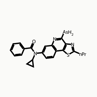 CCCc1nc2c([AsH2])nc3cc(N(C(=O)c4ccccc4)C4CC4)ccc3c2s1